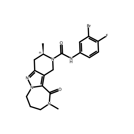 C[C@@H]1Cc2nn3c(c2CN1C(=O)Nc1ccc(F)c(Br)c1)C(=O)N(C)CCC3